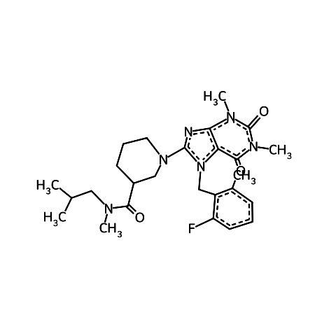 Cc1cccc(F)c1Cn1c(N2CCCC(C(=O)N(C)CC(C)C)C2)nc2c1c(=O)n(C)c(=O)n2C